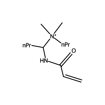 C=CC(=O)NC(CCC)[N+](C)(C)CCC